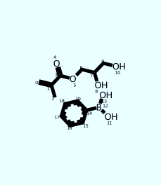 C=C(C)C(=O)OCC(O)CO.OB(O)c1ccccc1